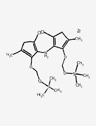 CC1=C(OCO[Si](C)(C)C)C([SiH2]C2=C(Cl)CC(C)=C2OCO[Si](C)(C)C)=C(Cl)C1.[Zr]